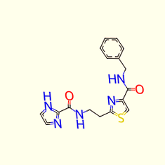 O=C(NCc1ccccc1)c1csc(CCNC(=O)c2ncc[nH]2)n1